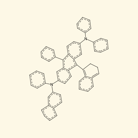 C1=c2ccccc2=C(c2c3cc(N(c4ccccc4)c4ccccc4)ccc3c(-c3ccccc3)c3cc(N(c4ccccc4)c4ccc5ccccc5c4)ccc23)CC1